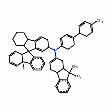 CC1=CCC(C2=CC=C(N(C3=CCC4c5ccccc5C(C)(C)C4C3)C3C=C4C(=CC3)C3CCCCC3C43c4ccccc4[C@@H]4C=CC=CC43)CC2)C=C1